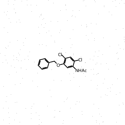 CC(=O)Nc1cc(OCc2ccccc2)c(Cl)cc1Cl